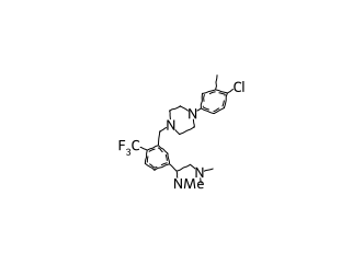 CNC(CN(C)C)c1ccc(C(F)(F)F)c(CN2CCN(c3ccc(Cl)c(C)c3)CC2)c1